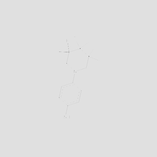 Nc1ccc(N2CC(F)(F)C(F)(F)C(F)(F)C2)cc1